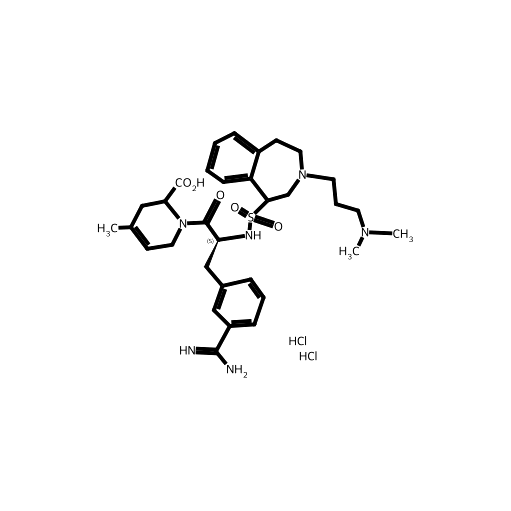 CC1=CCN(C(=O)[C@H](Cc2cccc(C(=N)N)c2)NS(=O)(=O)C2CN(CCCN(C)C)CCc3ccccc32)C(C(=O)O)C1.Cl.Cl